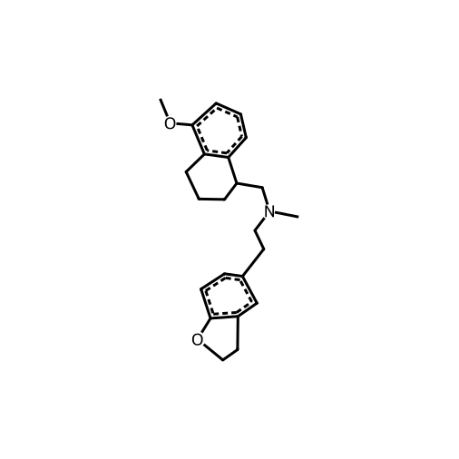 COc1cccc2c1CCCC2CN(C)CCc1ccc2c(c1)CCO2